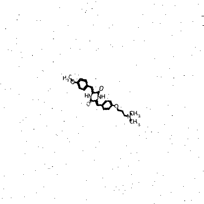 COc1ccc(C=c2[nH]c(=O)c(=Cc3ccc(OCCCN(C)C)cc3)[nH]c2=O)cc1